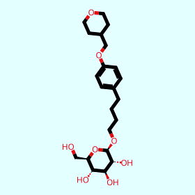 OC[C@H]1O[C@@H](OCCCCc2ccc(OCC3CCOCC3)cc2)[C@H](O)[C@@H](O)[C@@H]1O